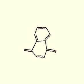 C=C1C=CC(=S)c2ccccc21